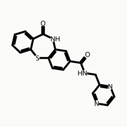 O=C(NCc1cnccn1)c1ccc2c(c1)NC(=O)c1ccccc1S2